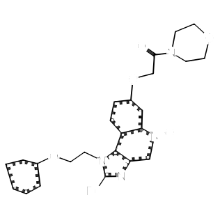 CCc1nc2c[n+]([O-])c3cc(OCC(=O)N4CCOCC4)ccc3c2n1CCOc1ccccc1